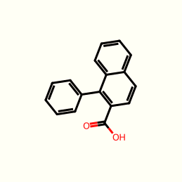 O=C(O)c1ccc2ccccc2c1-c1ccccc1